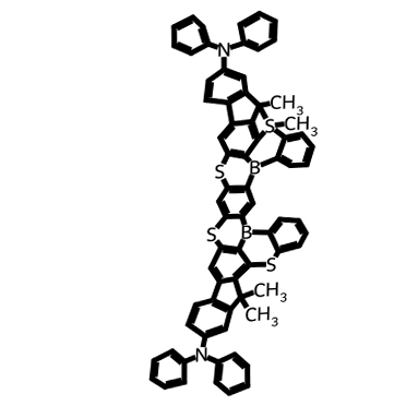 CC1(C)c2cc(N(c3ccccc3)c3ccccc3)ccc2-c2cc3c4c(c21)Sc1ccccc1B4c1cc2c(cc1S3)Sc1cc3c4c5c1B2c1ccccc1S5(C)C4(C)c1cc(N(c2ccccc2)c2ccccc2)ccc1-3